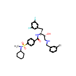 CCc1cccc(CNC[C@@H](O)[C@H](Cc2cc(F)cc(F)c2)NC(=O)c2ccc(S(=O)(=O)N(C)C3CCCCC3)cc2)c1